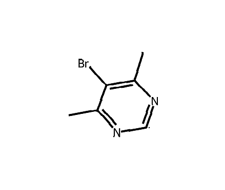 Cc1n[c]nc(C)c1Br